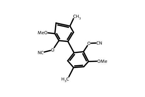 COc1cc(C)cc(-c2cc(C)cc(OC)c2OC#N)c1OC#N